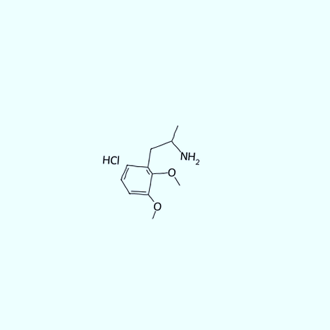 COc1cccc(CC(C)N)c1OC.Cl